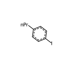 C[CH]Cc1ccc(I)cc1